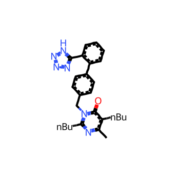 CCCCc1c(C)nc(CCCC)n(Cc2ccc(-c3ccccc3-c3nnn[nH]3)cc2)c1=O